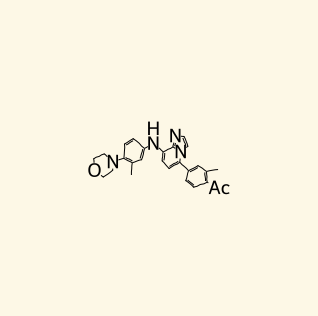 CC(=O)c1ccc(-c2ccc(Nc3ccc(N4CCOCC4)c(C)c3)c3nccn23)cc1C